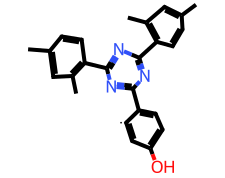 Cc1ccc(-c2nc(-c3[c]cc(O)cc3)nc(-c3ccc(C)cc3C)n2)c(C)c1